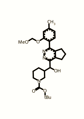 COCOc1cc(C)ccc1-c1nnc(C(O)C2CCCN(C(=O)OC(C)(C)C)C2)c2c1CCC2